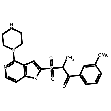 COc1cccc(C(=O)C(C)S(=O)(=O)c2cc3c(N4CCNCC4)nccc3s2)c1